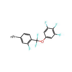 CCCc1ccc(C(F)(F)Oc2cc(F)c(F)c(F)c2)c(F)c1